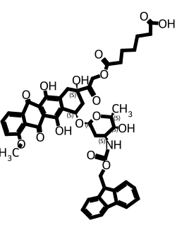 COc1cccc2c1C(=O)c1c(O)c3c(c(O)c1C2=O)C[C@@](O)(C(=O)COC(=O)CCCCCC(=O)O)C[C@@H]3O[C@H]1C[C@H](NC(=O)OCC2c3ccccc3-c3ccccc32)[C@H](O)[C@H](C)O1